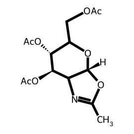 CC(=O)OCC1O[C@@H]2OC(C)=NC2[C@@H](OC(C)=O)[C@@H]1OC(C)=O